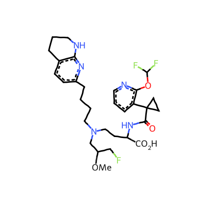 COC(CF)CN(CCCCc1ccc2c(n1)NCCC2)CCC(NC(=O)C1(c2cccnc2OC(F)F)CC1)C(=O)O